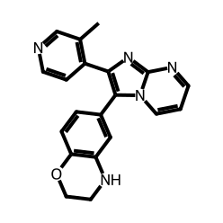 Cc1cnccc1-c1nc2ncccn2c1-c1ccc2c(c1)NCCO2